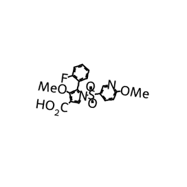 COc1ccc(S(=O)(=O)n2cc(C(=O)O)c(OC)c2-c2ccccc2F)cn1